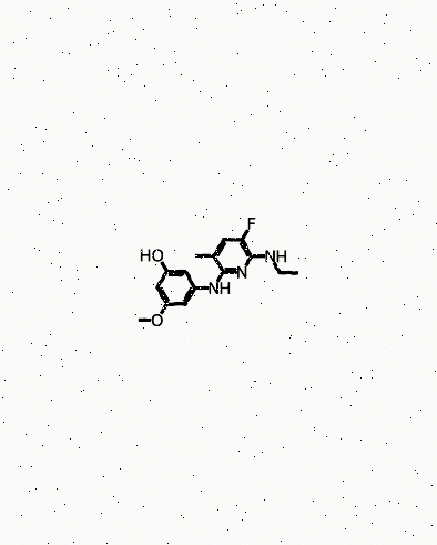 CCNc1nc(Nc2cc(O)cc(OC)c2)c(C)cc1F